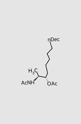 CCCCCCCCCCCCCCC[C@H](OC(C)=O)[C@H](C)NC(C)=O